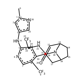 Cn1cc(Nc2ncc(C(F)(F)F)c(C3=CC4CCC(C3)N4C(=O)NCC(F)(F)F)n2)cn1